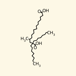 CCCCCCCCC(CCCCCCCC)(CC(C)CCCCCCCCCCCC(=O)O)C(=O)O